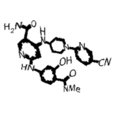 CNC(=O)c1ccc(Nc2cc(NC3CCN(c4ccc(C#N)cn4)CC3)c(C(N)=O)cn2)cc1O